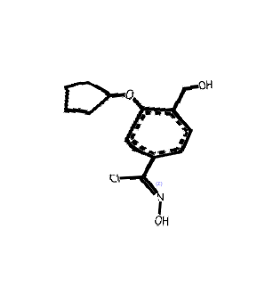 OCc1ccc(/C(Cl)=N/O)cc1OC1CCCC1